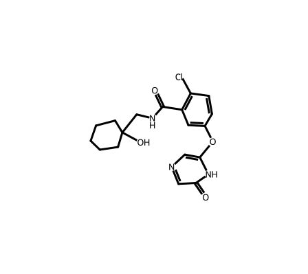 O=C(NCC1(O)CCCCC1)c1cc(Oc2cncc(=O)[nH]2)ccc1Cl